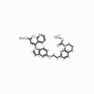 COC(=O)/C=C(\c1cccnc1)n1ccc2cc(OCCc3ccc4c(n3)N(C(=O)OC(C)(C)C)CCC4)ccc21